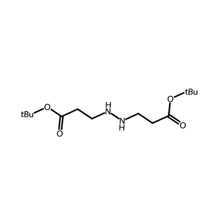 CC(C)(C)OC(=O)CCNNCCC(=O)OC(C)(C)C